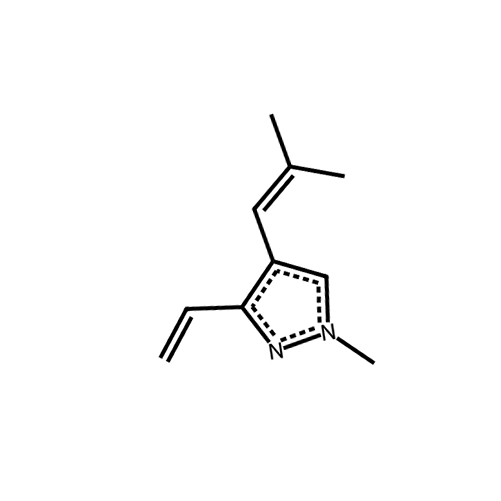 C=Cc1nn(C)cc1C=C(C)C